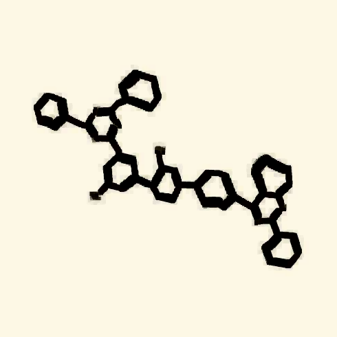 N#Cc1cc(-c2nc(-c3ccccc3)nc(-c3ccccc3)n2)cc(-c2ccc(-c3ccc(-c4nc(-c5ccccc5)nc5ccccc45)cc3)cc2C#N)c1